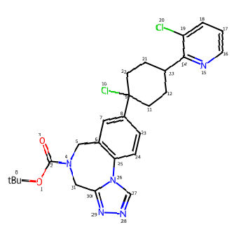 CC(C)(C)OC(=O)N1Cc2cc(C3(Cl)CCC(c4ncccc4Cl)CC3)ccc2-n2cnnc2C1